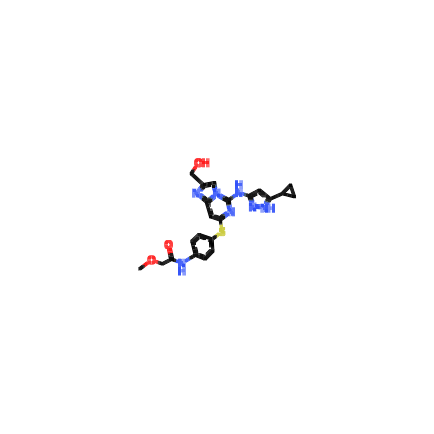 COCC(=O)Nc1ccc(Sc2cc3nc(CO)cn3c(Nc3cc(C4CC4)[nH]n3)n2)cc1